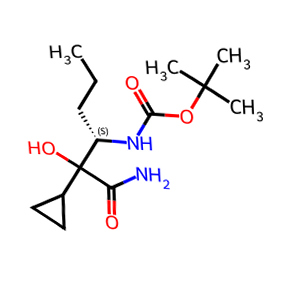 CCC[C@H](NC(=O)OC(C)(C)C)C(O)(C(N)=O)C1CC1